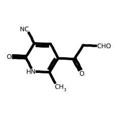 Cc1[nH]c(=O)c(C#N)cc1C(=O)CC=O